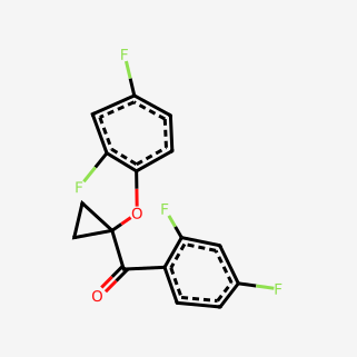 O=C(c1ccc(F)cc1F)C1(Oc2ccc(F)cc2F)CC1